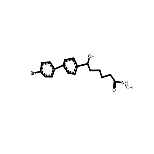 O=C(CCCCC(O)c1ccc(-c2ccc(Br)cc2)cc1)NO